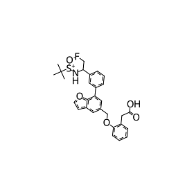 CC(C)(C)[S@+]([O-])NC(CF)c1cccc(-c2cc(COc3ccccc3CC(=O)O)cc3ccoc23)c1